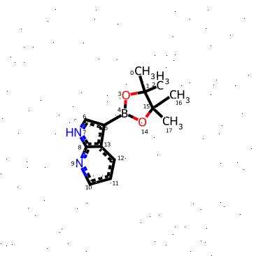 CC1(C)OB(c2c[nH]c3ncccc23)OC1(C)C